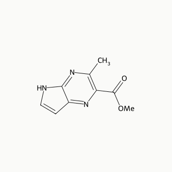 COC(=O)c1nc2cc[nH]c2nc1C